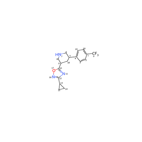 FC(F)(F)c1ccc(C2CNCC(c3nc(C4CC4)no3)C2)cc1